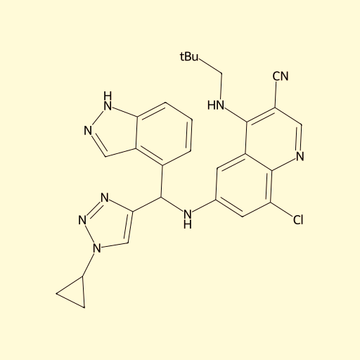 CC(C)(C)CNc1c(C#N)cnc2c(Cl)cc(NC(c3cn(C4CC4)nn3)c3cccc4[nH]ncc34)cc12